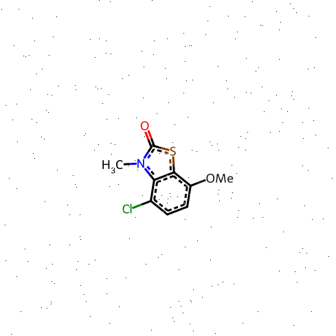 COc1ccc(Cl)c2c1sc(=O)n2C